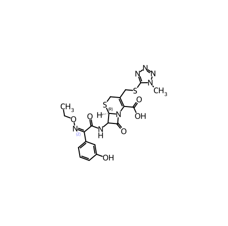 CCO/N=C(\C(=O)NC1C(=O)N2C(C(=O)O)=C(CSc3nnnn3C)CS[C@H]12)c1cccc(O)c1